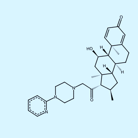 C[C@@H]1C[C@H]2[C@@H]3CCC4=CC(=O)C=C[C@]4(C)[C@H]3[C@H](O)C[C@]2(C)[C@H]1C(=O)CN1CCN(c2ccccn2)CC1